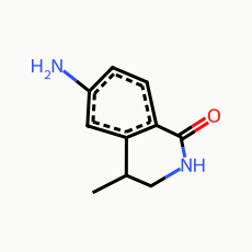 CC1CNC(=O)c2ccc(N)cc21